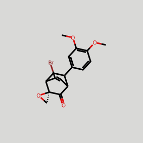 COc1ccc(C2CC3C(Br)=CC2C(=O)[C@]32CO2)cc1OC